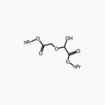 CCCOC(=O)COC(O)C(=O)OCCC